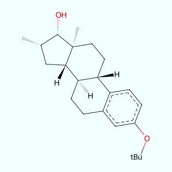 C[C@H]1C[C@H]2[C@@H]3CCc4cc(OC(C)(C)C)ccc4[C@H]3CC[C@]2(C)[C@H]1O